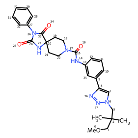 COCC(C)(C)Cn1cc(-c2cccc(NC(=O)N3CCC4(CC3)NC(=O)N(c3ccccc3)C4=O)c2)nn1